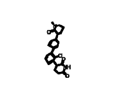 CN1CCCC(c2ccc(-c3cccc(C4CCC(=O)NC4=O)c3Cl)cc2)C1=O